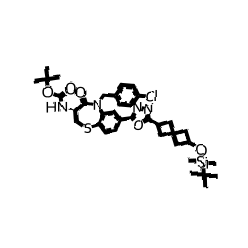 CC(C)(C)OC(=O)N[C@H]1CSc2ccc(-c3nnc(C4CC5(CC(O[Si](C)(C)C(C)(C)C)C5)C4)o3)cc2N(Cc2ccc(Cl)cc2)C1=O